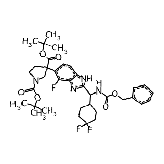 CC(C)(C)OC(=O)N1CCC(C(=O)OC(C)(C)C)(c2ccc3[nH]c(C(NC(=O)OCc4ccccc4)C4CCC(F)(F)CC4)nc3c2F)C1